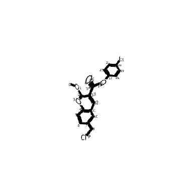 COC1Oc2ccc(CCl)cc2C=C1C(=O)Oc1ccc(I)cc1